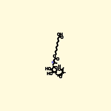 C/C(=C\C(=O)OCCCCCCCCC(=O)O)C[C@@H]1OC[C@H](C[C@@H]2O[C@H]2[C@@H](C)[C@H](C)O)[C@@H](O)[C@@H]1O